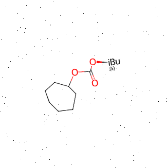 CC[C@H](C)OC(=O)OC1CCCCCC1